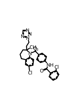 CC1(CCn2ncnn2)CCCc2cc(Cl)ccc2N1C(=O)c1ccc(NC(=O)c2ccccc2Cl)cc1